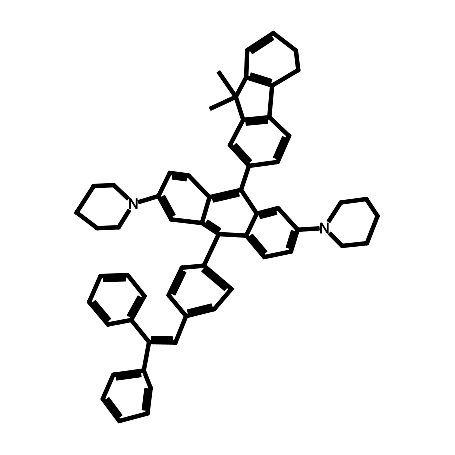 CC1(C)C2=C(CCC=C2)c2ccc(-c3c4ccc(N5CCCCC5)cc4c(-c4ccc(C=C(c5ccccc5)c5ccccc5)cc4)c4ccc(N5CCCCC5)cc34)cc21